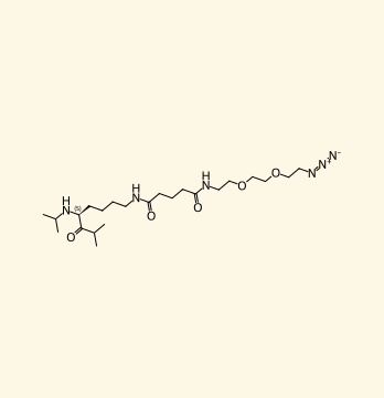 CC(C)N[C@@H](CCCCNC(=O)CCCC(=O)NCCOCCOCCN=[N+]=[N-])C(=O)C(C)C